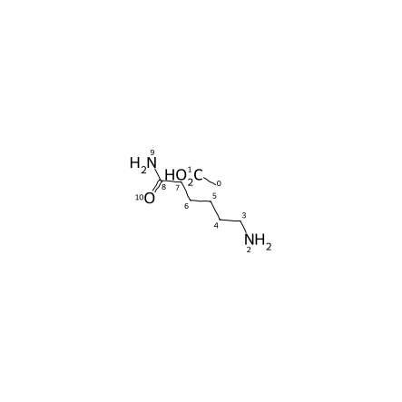 CC(=O)O.NCCCCCC(N)=O